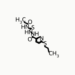 CCCCSc1ccc(C(=O)NNC(=S)NC(=O)CC)cn1